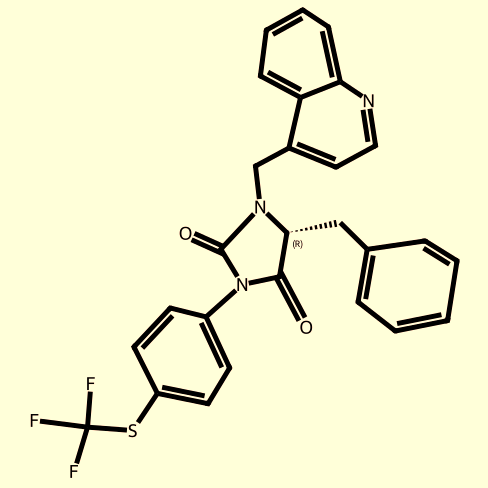 O=C1[C@@H](Cc2ccccc2)N(Cc2ccnc3ccccc23)C(=O)N1c1ccc(SC(F)(F)F)cc1